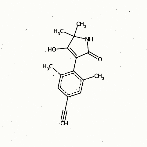 C#Cc1cc(C)c(C2=C(O)C(C)(C)NC2=O)c(C)c1